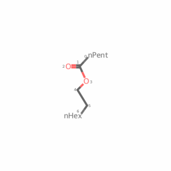 [CH2]CCCCC(=O)OCCCCCCCC